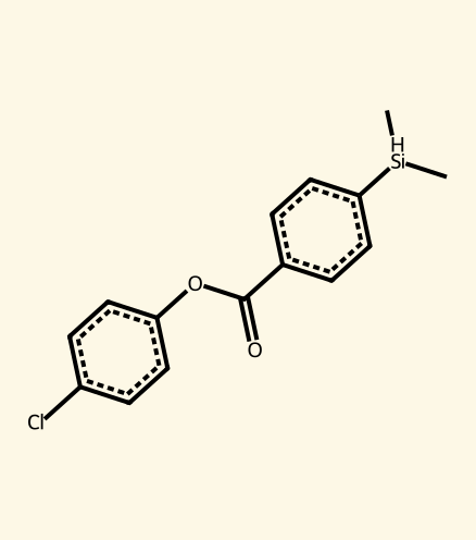 C[SiH](C)c1ccc(C(=O)Oc2ccc(Cl)cc2)cc1